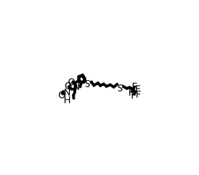 CCCC(C(=O)NC=O)N1Cc2c(SCCCCCCCCCSCCCC(F)(F)C(F)(F)F)cccc2C1=O